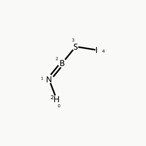 [2H]/N=B/SI